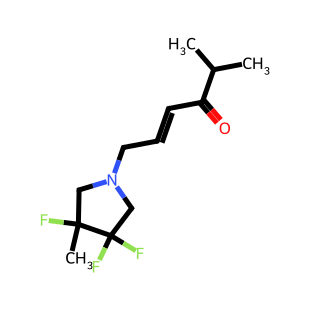 CC(C)C(=O)/C=C/CN1CC(C)(F)C(F)(F)C1